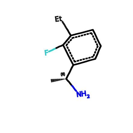 CCc1cccc([C@@H](C)N)c1F